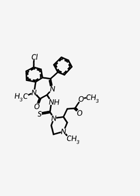 COC(=O)CC1CN(C)CCN1C(=S)NC1N=C(c2ccccc2)c2cc(Cl)ccc2N(C)C1=O